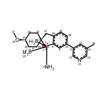 BC1(B)OC(N)=NC12c1cc(-c3cncc(C)c3)ccc1C[C@@]21CC[C@H](OC)[C@@H](C)C1